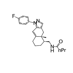 CCCC(=O)NC[C@H]1CCCC2=Cc3c(cnn3-c3ccc(F)cc3)C[C@@]21C